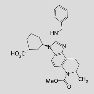 COC(=O)N1c2ccc3c(nc(NCc4ccccc4)n3[C@@H]3CCC[C@@H](C(=O)O)C3)c2CCC1C